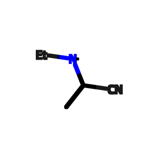 CC[N]C(C)C#N